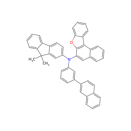 CC1(C)c2ccccc2-c2ccc(N(c3cccc(-c4ccc5ccccc5c4)c3)c3cc4ccccc4c4c3oc3ccccc34)cc21